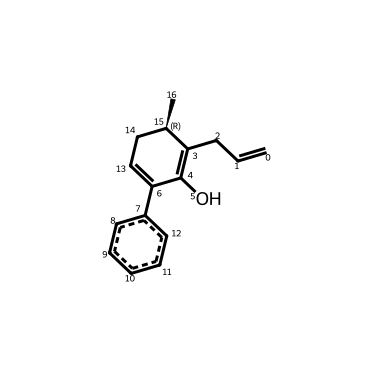 C=CCC1=C(O)C(c2ccccc2)=CC[C@H]1C